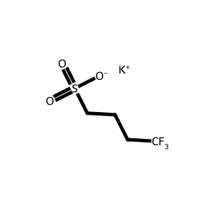 O=S(=O)([O-])CCCC(F)(F)F.[K+]